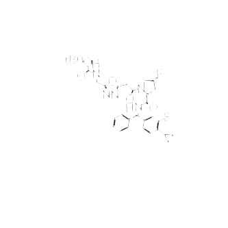 CC(C)(C)OC(=O)NCc1nnc(CC(=O)N2C[C@H](F)C[C@H]2C(=O)N[C@@H](c2ccccc2)c2ccc(C3CC3)c(F)c2)o1